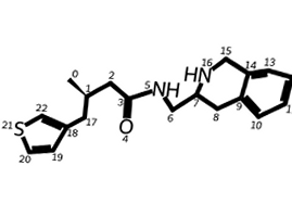 C[C@@H](CC(=O)NCC1Cc2ccccc2CN1)Cc1ccsc1